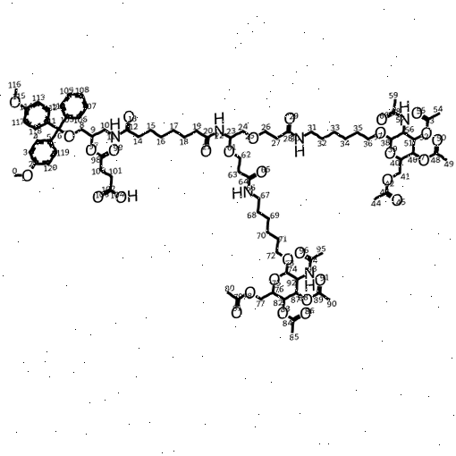 COc1ccc(C(OCC(CNC(=O)CCCCCCC(=O)NC(COCCC(=O)NCCCCCCOC2OC(COC(C)=O)C(OC(C)=O)C(OC(C)=O)C2NC(C)=O)OCCC(=O)NCCCCCCOC2OC(COC(C)=O)C(OC(C)=O)C(OC(C)=O)C2NC(C)=O)OC(=O)CCC(=O)O)(c2ccccc2)c2ccc(OC)cc2)cc1